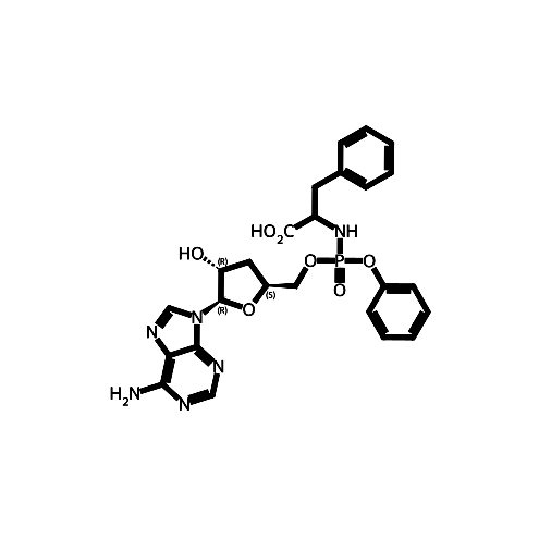 Nc1ncnc2c1ncn2[C@@H]1O[C@H](COP(=O)(NC(Cc2ccccc2)C(=O)O)Oc2ccccc2)C[C@H]1O